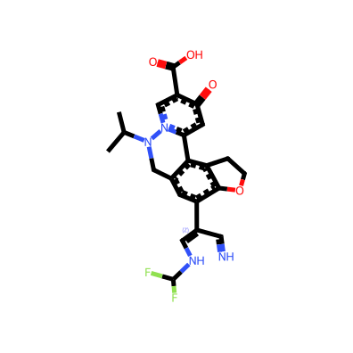 CC(C)N1Cc2cc(/C(C=N)=C/NC(F)F)c3c(c2-c2cc(=O)c(C(=O)O)cn21)CCO3